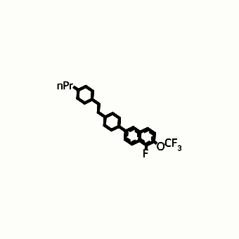 CCCC1CCC(CCC2CCC(c3ccc4c(F)c(OC(F)(F)F)ccc4c3)CC2)CC1